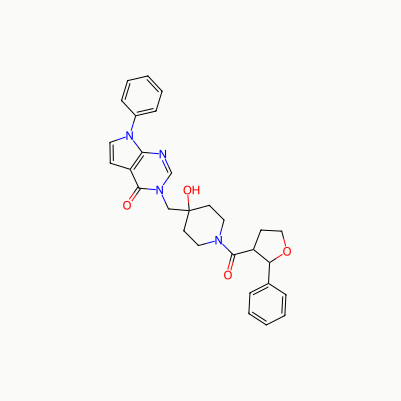 O=C(C1CCOC1c1ccccc1)N1CCC(O)(Cn2cnc3c(ccn3-c3ccccc3)c2=O)CC1